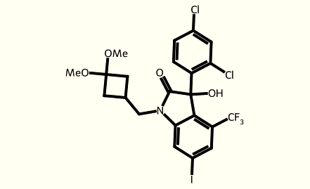 COC1(OC)CC(CN2C(=O)C(O)(c3ccc(Cl)cc3Cl)c3c2cc(I)cc3C(F)(F)F)C1